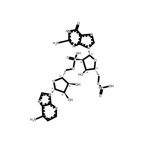 Nc1nc2c(ncn2[C@@H]2O[C@H](CO[PH](=O)O)[C@@H](O)[C@H]2P(=O)(O)OC[C@H]2O[C@@H](n3cnc4c(N)ccnc43)[C@H](O)[C@@H]2O)c(=O)[nH]1